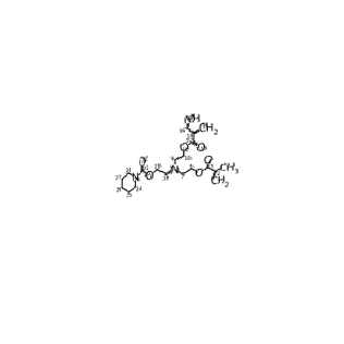 C=C(C)C(=O)OCCN(CCOC(=O)C(=C)C=N)CCOC(=O)N1CCCCC1